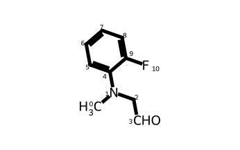 CN(CC=O)c1ccccc1F